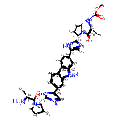 COC(=O)N[C@@H](C)C(=O)N1CCC[C@H]1c1ncc(-c2ccc3c(c2)[nH]c2cc(-c4cnc([C@@H]5CCCN5C(=O)[C@H](C)N)[nH]4)ccc23)[nH]1